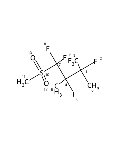 CC(F)(C(F)(F)F)C(C)(F)C(F)(F)S(C)(=O)=O